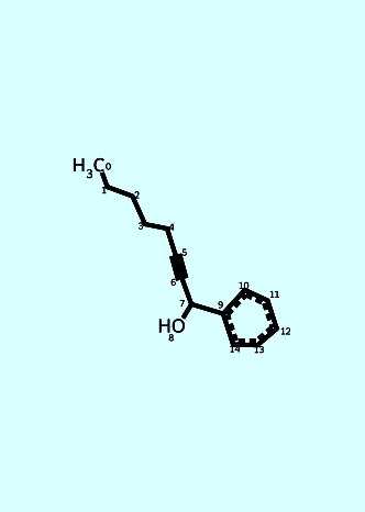 CCCCCC#CC(O)c1ccccc1